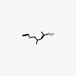 C=COCC(C)C=C(C)C(=O)O